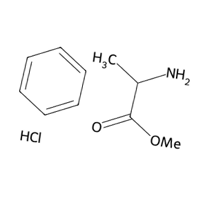 COC(=O)C(C)N.Cl.c1ccccc1